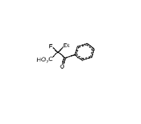 CCC(F)(C(=O)O)C(=O)c1ccccc1